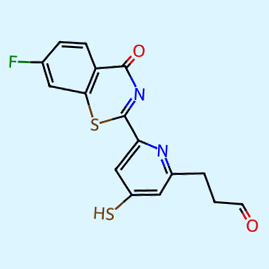 O=CCCc1cc(S)cc(-c2nc(=O)c3ccc(F)cc3s2)n1